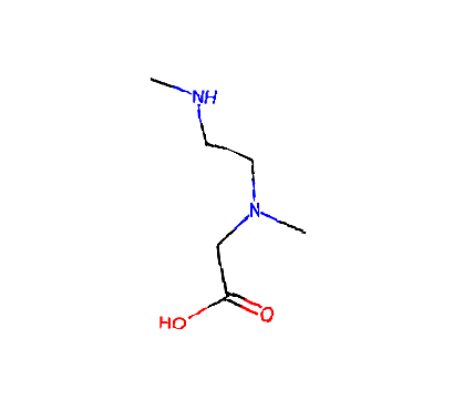 CNCCN(C)CC(=O)O